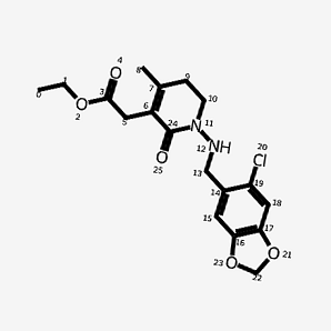 CCOC(=O)CC1=C(C)CCN(NCc2cc3c(cc2Cl)OCO3)C1=O